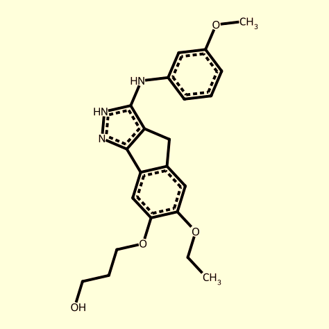 CCOc1cc2c(cc1OCCCO)-c1n[nH]c(Nc3cccc(OC)c3)c1C2